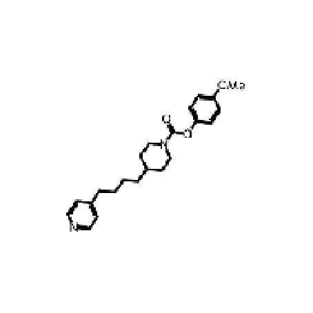 COc1ccc(OC(=O)N2CCC(CCCCc3ccncc3)CC2)cc1